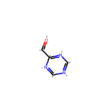 O=[C]c1ncncn1